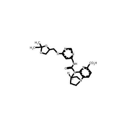 CC1(C)OCC(COc2cc(NC(=O)N3c4nc(C(=O)O)ccc4N4CC[C@H]3C4)ncn2)O1